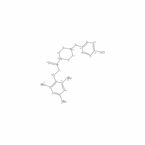 CC(C)(C)c1cc(C(C)(C)C)c(OCC(=O)N2CCN(Cc3ccc(Cl)cc3)CC2)c(C(C)(C)C)c1